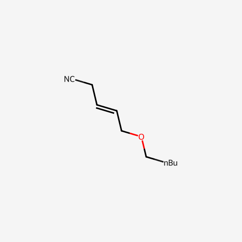 CCCCCOCC=CCC#N